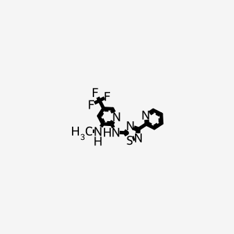 CNc1cc(C(F)(F)F)cnc1Nc1nc(-c2ccccn2)ns1